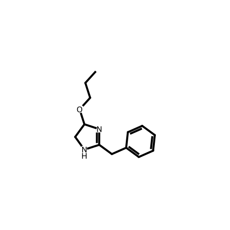 CCCOC1CNC(Cc2ccccc2)=N1